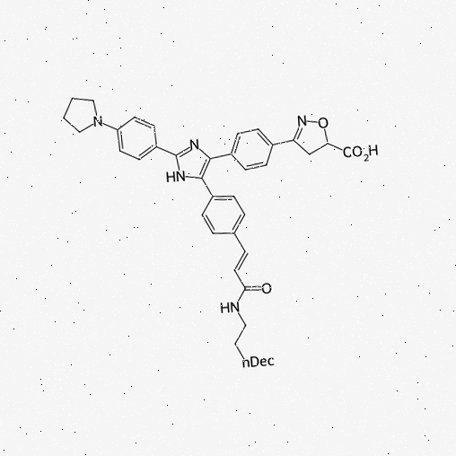 CCCCCCCCCCCCNC(=O)C=Cc1ccc(-c2[nH]c(-c3ccc(N4CCCC4)cc3)nc2-c2ccc(C3=NOC(C(=O)O)C3)cc2)cc1